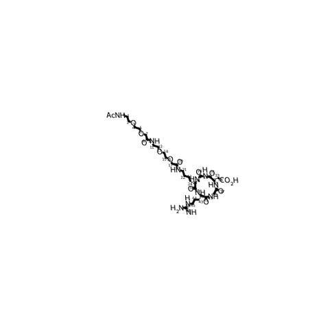 CC(=O)NCCOCCOCC(=O)NCCOCCOCC(=O)NCCCC[C@@H]1NC(=O)NC(=O)[C@H](CC(=O)O)NC(=O)CNC(=O)[C@H](CCCNC(=N)N)NC1=O